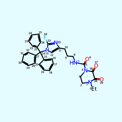 CCN1CCN(C(=O)NCCCc2cn(C(c3ccccc3)(c3ccccc3)c3ccccc3)c(F)n2)C(=O)C1=O